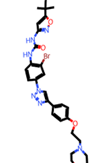 CC(C)(C)c1cc(NC(=O)Nc2ccc(-n3cc(-c4ccc(OCCN5CCOCC5)cc4)nn3)cc2Br)no1